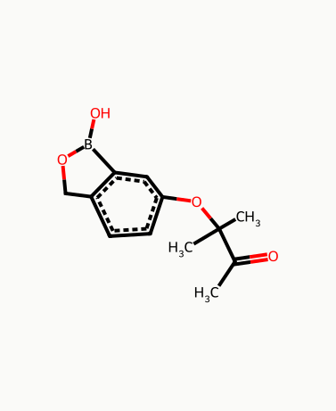 CC(=O)C(C)(C)Oc1ccc2c(c1)B(O)OC2